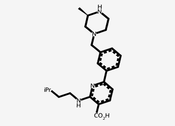 CC(C)CCNc1nc(-c2cccc(CN3CCN[C@H](C)C3)c2)ccc1C(=O)O